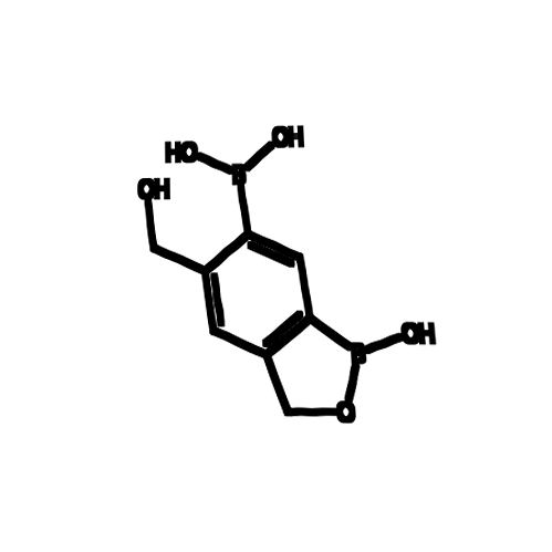 OCc1cc2c(cc1B(O)O)B(O)OC2